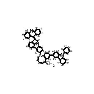 C=C1/C=C\C=C/N(c2ccc3c(c2)c2cccc4c2n3C/C4=C(/c2ccccc2)c2ccccc2N)c2ccc(-c3ccc4c(c3)c3ccccc3n4-c3ccccc3)cc21